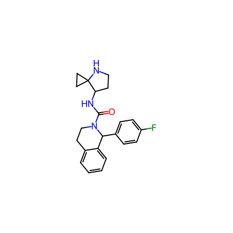 O=C(NC1CCNC12CC2)N1CCc2ccccc2C1c1ccc(F)cc1